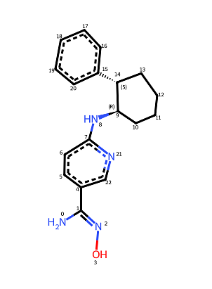 NC(=NO)c1ccc(N[C@@H]2CCCC[C@H]2c2ccccc2)nc1